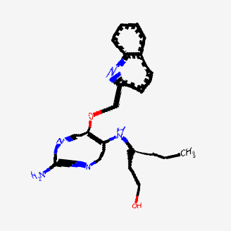 CCC[C@@H](CCO)NC1=C(OCc2ccc3ccccc3n2)C=NC(N)=NC1